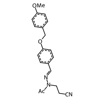 COc1ccc(COc2ccc(C=NN(CCC#N)C(C)=O)cc2)cc1